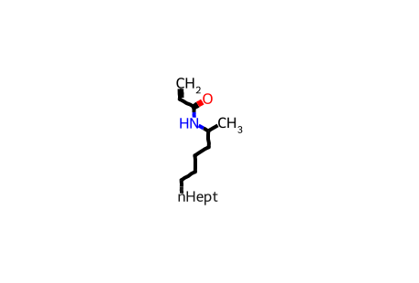 C=CC(=O)NC(C)CCCCCCCCCCC